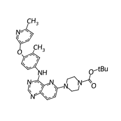 Cc1ccc(Oc2ccc(Nc3ncnc4ccc(N5CCN(C(=O)OC(C)(C)C)CC5)nc34)cc2C)cn1